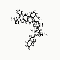 CCNC(=O)c1ccccc1-c1ccc(CN2C(=O)[C@H](NC(=O)CC(C)(C)NCc3cc4ccccc4o3)CCc3ccccc32)cc1